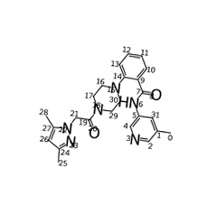 Cc1cncc(NC(=O)c2ccccc2N2CCN(C(=O)Cn3nc(C)cc3C)CC2)c1